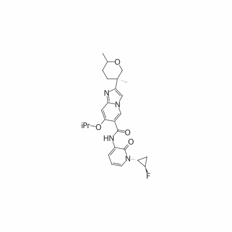 CC(C)Oc1cc2nc([C@@]3(C)CCC(C)OC3)cn2cc1C(=O)Nc1cccn([C@@H]2C[C@H]2F)c1=O